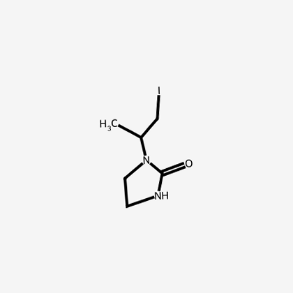 CC(CI)N1CCNC1=O